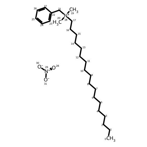 CCCCCCCCCCCCCCCCCC[N+](C)(C)Cc1ccccc1.O=[N+]([O-])[O-]